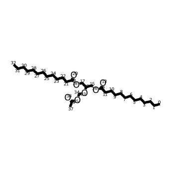 CCCCCCCCCCCCC(=O)OCC(COC(=O)CCCCCCCCCCCC)OCOC(C)=O